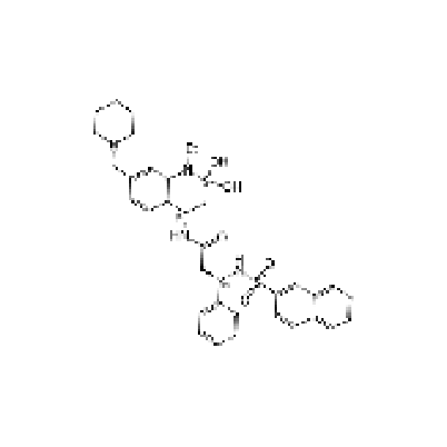 CCN1c2cc(CN3CCCCC3)ccc2[C@@H](NC(=O)C[C@@H](NS(=O)(=O)c2ccc3ccccc3c2)c2ccccc2)CS1(O)O